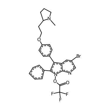 CN1CCCC1CCOc1ccc(-c2c(-c3ccccc3)n(OC(=O)C(F)(F)F)c3ncc(Br)cc23)cc1